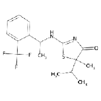 CC(NC1=NC(=O)C(C)(C(C)C)S1)c1ccccc1C(F)(F)F